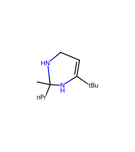 CCCC1(C)NCC=C(C(C)(C)C)N1